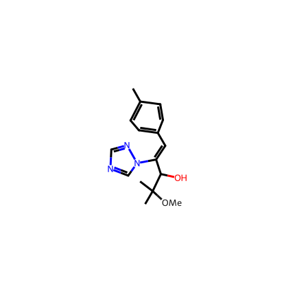 COC(C)(C)C(O)C(=Cc1ccc(C)cc1)n1cncn1